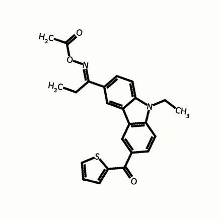 CC/C(=N\OC(C)=O)c1ccc2c(c1)c1cc(C(=O)c3cccs3)ccc1n2CC